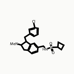 CNC1Cc2ccc(CNS(=O)(=O)C3CCC3)cc2C1Cc1cccc(Cl)c1